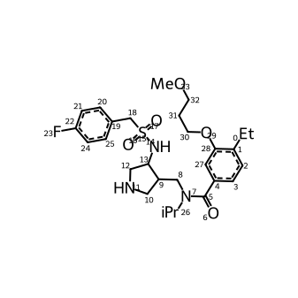 CCc1ccc(C(=O)N(CC2CNCC2NS(=O)(=O)Cc2ccc(F)cc2)C(C)C)cc1OCCCOC